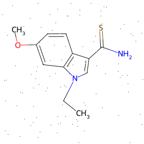 CCn1cc(C(N)=S)c2ccc(OC)cc21